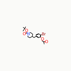 CC(=O)COc1cc(CC2CCN(C(=O)OC(C)(C)C)CC2)ccc1Br